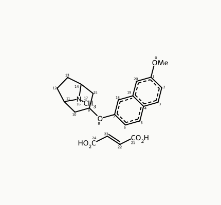 COc1ccc2ccc(OC3CC4CCC(C3)N4C)cc2c1.O=C(O)/C=C/C(=O)O